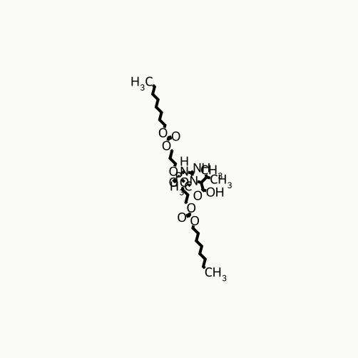 CCCCCCCCOC(=O)OCCCOP(=O)(NC(=N)N(C)C(C(=O)O)C(C)C)OCCCOC(=O)OCCCCCCCC